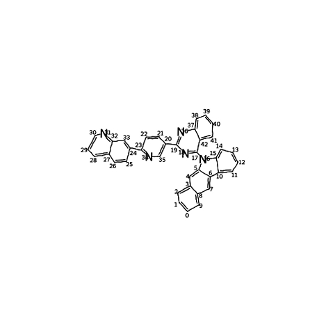 c1ccc2cc3c(cc2c1)c1ccccc1n3-c1nc(-c2ccc(-c3ccc4cccnc4c3)nc2)nc2ccccc12